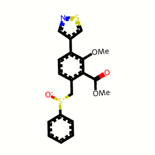 COC(=O)c1c(C[S+]([O-])c2ccccc2)ccc(-c2cnsc2)c1OC